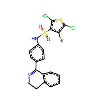 O=S(=O)(Nc1ccc(C2=NCCc3ccccc32)cc1)c1c(Cl)sc(Cl)c1Br